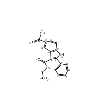 CCOC(=O)c1c(-c2ccccc2)[nH]c2ccc(C(=O)O)cc12